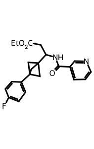 CCOC(=O)CC(NC(=O)c1cccnc1)C12CC(c3ccc(F)cc3)(C1)C2